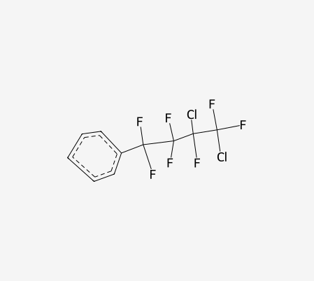 FC(F)(Cl)C(F)(Cl)C(F)(F)C(F)(F)c1ccccc1